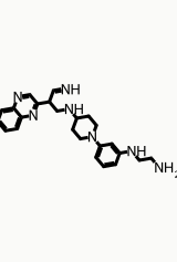 N=CC(CNC1CCN(c2cccc(NCCN)c2)CC1)c1cnc2ccccc2n1